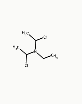 CCN(C(C)Cl)C(C)Cl